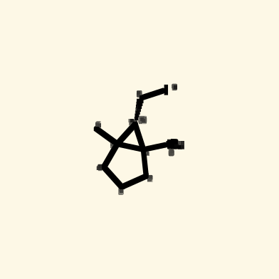 CC(C)(C)C12CCCC1(C)[C@@H]2CI